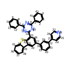 c1ccc(-c2nc(-c3ccccc3)nc(-c3cc(-c4cccc(-c5ccncc5)c4)cc4c3sc3ccccc34)n2)cc1